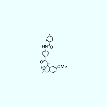 COc1ccc2c(c1)/C(=C/C(=O)c1ccc(NC(=O)c3ccncc3)cc1)NC(C)(C)C2